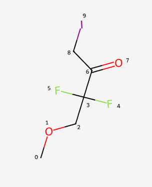 COCC(F)(F)C(=O)CI